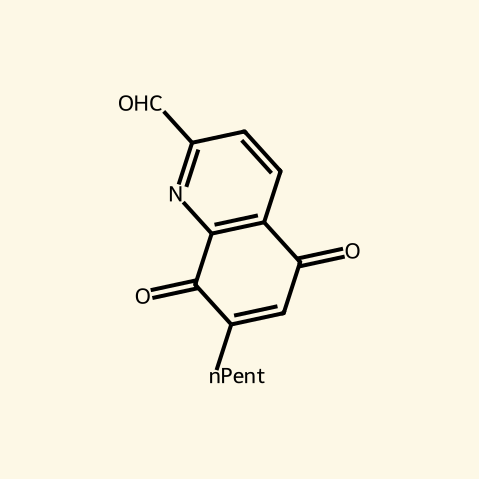 CCCCCC1=CC(=O)c2ccc(C=O)nc2C1=O